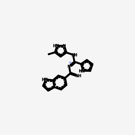 Cc1cc(N/C(=N/C(=N)c2ccc3cc[nH]c3c2)c2ccc[nH]2)n[nH]1